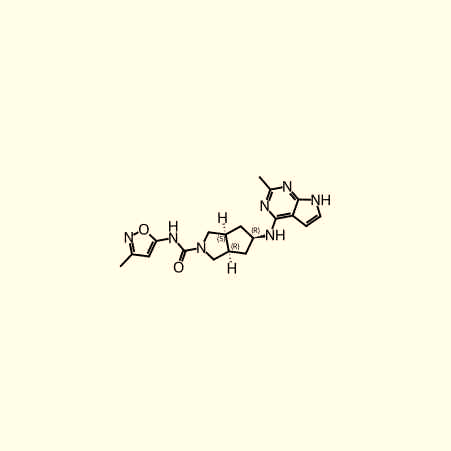 Cc1cc(NC(=O)N2C[C@H]3C[C@@H](Nc4nc(C)nc5[nH]ccc45)C[C@H]3C2)on1